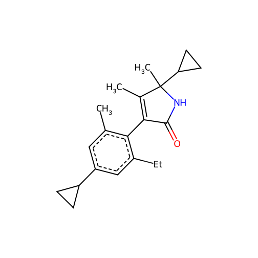 CCc1cc(C2CC2)cc(C)c1C1=C(C)C(C)(C2CC2)NC1=O